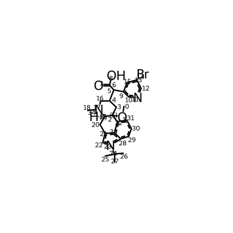 CO[C@]12CC(C(C(=O)O)c3cncc(Br)c3)CN(C)[C@@H]1Cc1cn(C(C)(C)C)c3cccc2c13